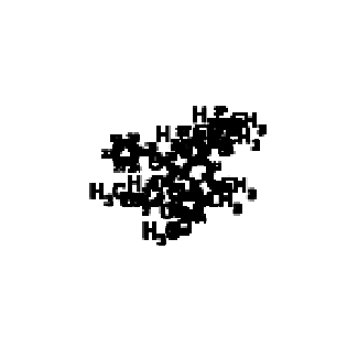 COCCCOc1cc(C[C@H](CC2C(C[C@H](COCc3ccccc3)C(C)C)OC(C)(C)N2C(=O)OC(C)(C)C)C(C)C)ccc1OC